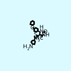 CC1=C(c2nc(-c3ccc(N)cc3)cs2)C(c2ccc(Oc3ccccc3)cc2)NC(=O)N1